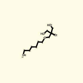 CCC(CO)(CO)COCCCCCCO